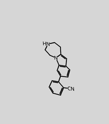 N#Cc1ccccc1-c1ccc2cc3n(c2c1)CCNCC3